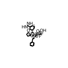 N=C(N)C1=CC=C[C@@H](C(NS(=O)(=O)C=Cc2ccccc2)N2CCCC2)C1=O.O=C(O)C(F)(F)F